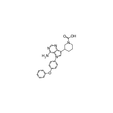 Nc1ncnc2c(C3CCCN(C(=O)O)C3)cn(-c3ccc(Oc4ccccc4)cc3)c12